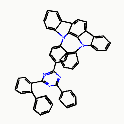 c1ccc(-c2nc(-c3ccc(-n4c5ccccc5c5ccc6c7ccccc7n(-c7ccccc7)c6c54)cc3)nc(-c3ccccc3-c3ccccc3)n2)cc1